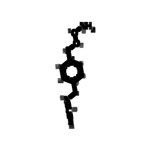 NOOSc1ccc(CN=C=S)cc1